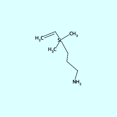 C=C[Si](C)(C)CCCN